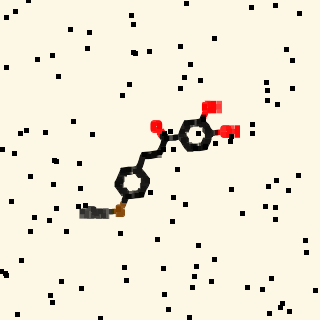 CCCCCCCCCCSc1ccc(C=CC(=O)c2ccc(O)c(O)c2)cc1